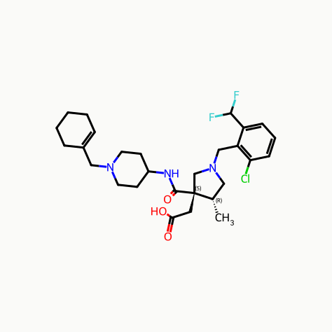 C[C@H]1CN(Cc2c(Cl)cccc2C(F)F)C[C@@]1(CC(=O)O)C(=O)NC1CCN(CC2=CCCCC2)CC1